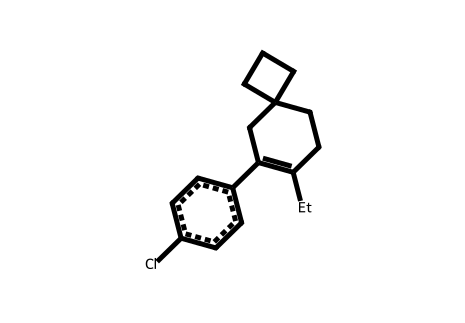 CCC1=C(c2ccc(Cl)cc2)CC2(CCC2)CC1